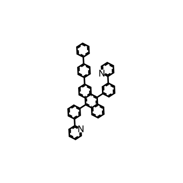 c1ccc(-c2ccc(-c3ccc4c(-c5cccc(-c6ccccn6)c5)c5ccccc5c(-c5cccc(-c6ccccn6)c5)c4c3)cc2)cc1